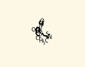 Cc1ncsc1CCN1c2nc(N3CC4CC3CO4)cc(=O)n2CC[C@H]1C(F)(F)F